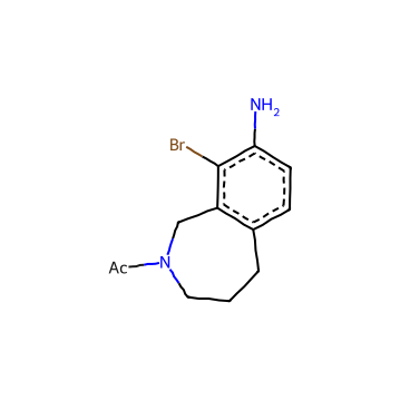 CC(=O)N1CCCc2ccc(N)c(Br)c2C1